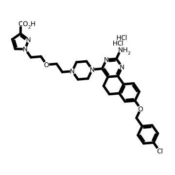 Cl.Cl.Nc1nc2c(c(N3CCN(CCOCCn4ccc(C(=O)O)n4)CC3)n1)CCc1cc(OCc3ccc(Cl)cc3)ccc1-2